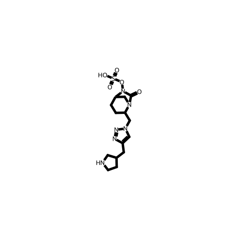 O=C1N2CC(CCC2Cn2cc(CC3CCNC3)nn2)N1OS(=O)(=O)O